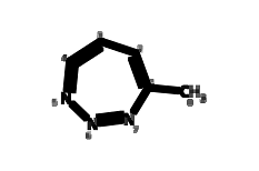 CC1=CC=C=NN=N1